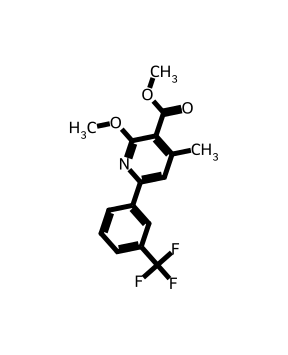 COC(=O)c1c(C)cc(-c2cccc(C(F)(F)F)c2)nc1OC